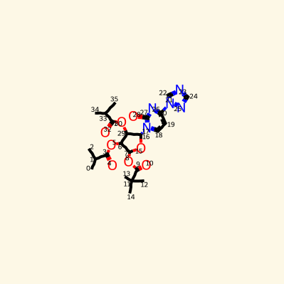 CC(C)C(=O)OC1C(OC(=O)C(C)(C)C)OC(n2ccc(-n3cncn3)nc2=O)C1OC(=O)C(C)C